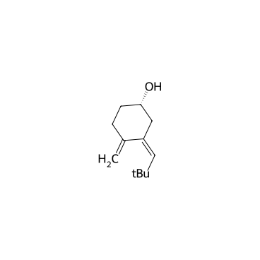 C=C1CC[C@H](O)C/C1=C/C(C)(C)C